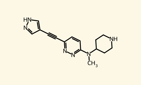 CN(c1ccc(C#Cc2cn[nH]c2)nn1)C1CCNCC1